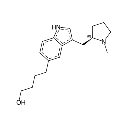 CN1CCC[C@@H]1Cc1c[nH]c2ccc(CCCCO)cc12